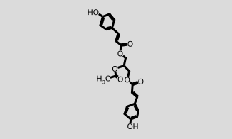 CC(=O)OC(COC(=O)C=Cc1ccc(O)cc1)COC(=O)/C=C/c1ccc(O)cc1